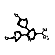 CC(O)c1cnc(-c2ccc(Cl)cc2)c(-c2ccc(Cl)cc2)c1